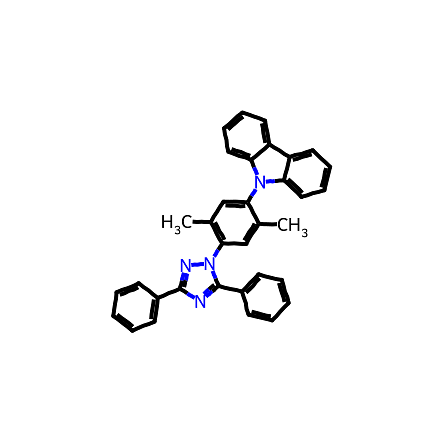 Cc1cc(-n2c3ccccc3c3ccccc32)c(C)cc1-n1nc(-c2ccccc2)nc1-c1ccccc1